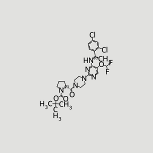 C[C@@H](Nc1nc(N2CCN(C(=O)[C@H]3CCCN3C(=O)OC(C)(C)C)CC2)ncc1OC(F)F)c1ccc(Cl)cc1Cl